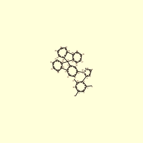 Cc1cc(C)c(-c2ccnn2-c2ccc3c(c2)C2(c4ccccc4-c4ccccc42)c2ccccc2-3)c(C)c1